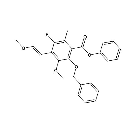 COC=Cc1c(F)c(C)c(C(=O)Oc2ccccc2)c(OCc2ccccc2)c1OC